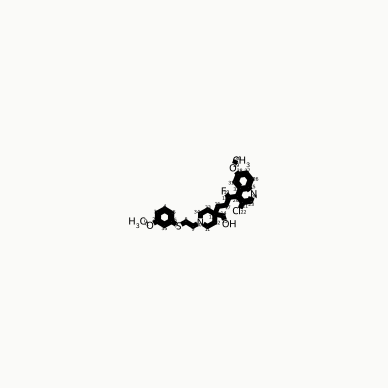 COc1cccc(SCCN2CCC(CO)(CCC(F)c3c(Cl)cnc4ccc(OC)cc34)CC2)c1